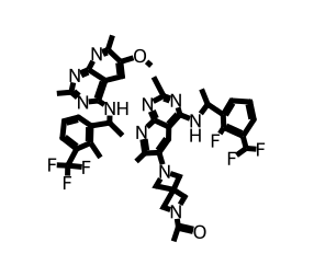 CC(=O)N1CC2(C1)CN(c1cc3c(NC(C)c4cccc(C(F)F)c4F)nc(C)nc3nc1C)C2.COc1cc2c(NC(C)c3cccc(C(F)(F)F)c3C)nc(C)nc2nc1C